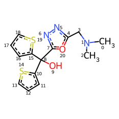 CN(C)Cc1nnc(C(O)(c2cccs2)c2cccs2)o1